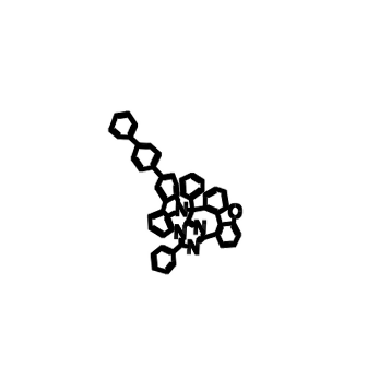 c1ccc(-c2ccc(-c3ccc4c(c3)c3ccccc3n4C3(c4ccccc4)c4nc(-c5ccccc5)nc(n4)-c4cccc5oc6cccc3c6c45)cc2)cc1